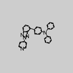 c1ccc(N(c2ccccc2)c2ccc(-c3cccc4nn(-c5ccncc5)nc34)cc2)cc1